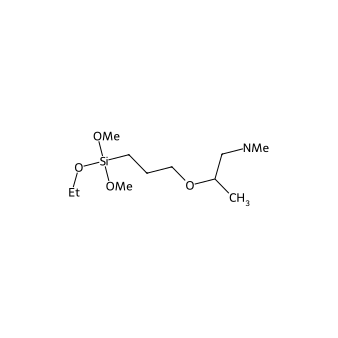 CCO[Si](CCCOC(C)CNC)(OC)OC